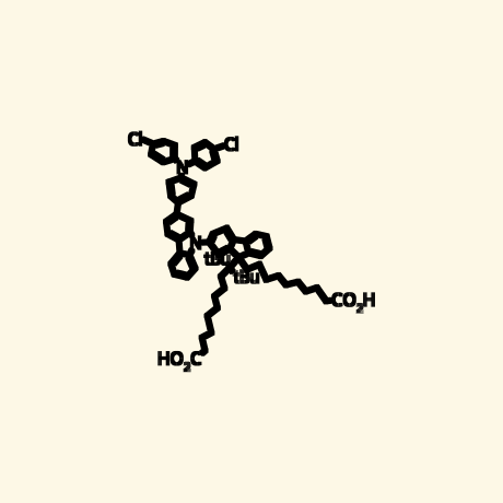 CC(C)(C)C(CCCCCCCCC(=O)O)(C(C)(C)C)C1(CCCCCCCCCC(=O)O)c2ccccc2-c2ccc(-n3c4ccccc4c4ccc(-c5ccc(N(c6ccc(Cl)cc6)c6ccc(Cl)cc6)cc5)cc43)cc21